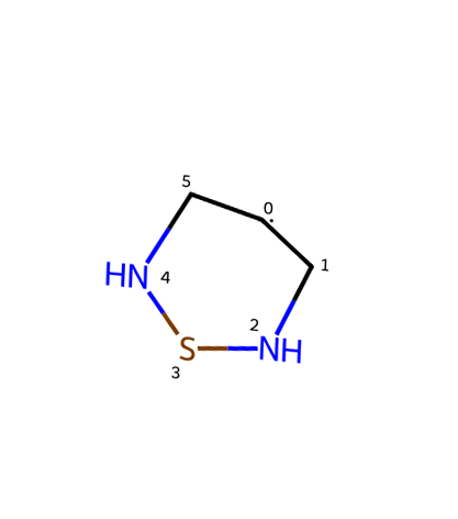 [CH]1CNSNC1